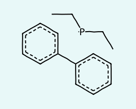 CC[P]CC.c1ccc(-c2ccccc2)cc1